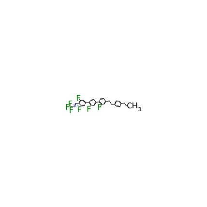 CCCc1ccc(CCc2ccc(-c3ccc(-c4cc(F)c(/C=C/C(F)(F)F)c(F)c4)c(F)c3)c(F)c2)cc1